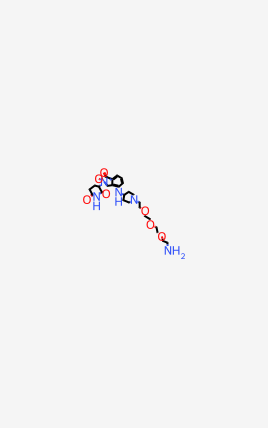 NCCOCCOCCOCCN1CCC(Nc2cccc3c2C[N+]([O-])(C2CCC(=O)NC2=O)C3=O)CC1